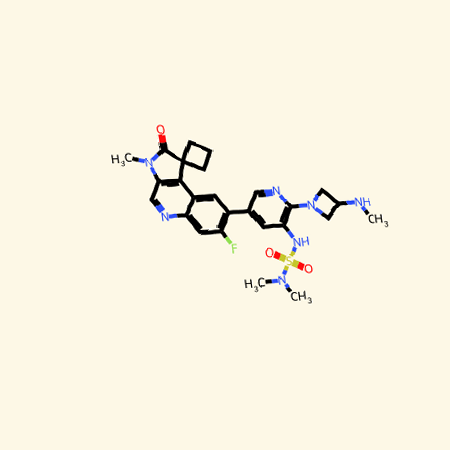 CNC1CN(c2ncc(-c3cc4c5c(cnc4cc3F)N(C)C(=O)C53CCC3)cc2NS(=O)(=O)N(C)C)C1